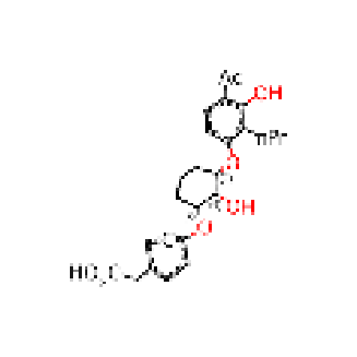 CCCc1c(O[C@@H]2CCC[C@@H](Oc3ccc(CC(=O)O)cc3)[C@@H]2O)ccc(C(C)=O)c1O